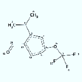 CC(C)c1cc(OC(F)(F)F)ccc1C=O